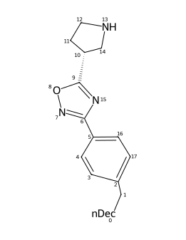 CCCCCCCCCCCc1ccc(-c2noc([C@@H]3CCNC3)n2)cc1